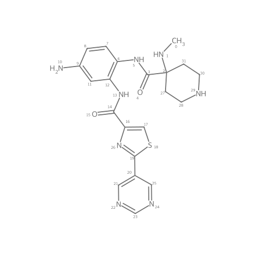 CNC1(C(=O)Nc2ccc(N)cc2NC(=O)c2csc(-c3cncnc3)n2)CCNCC1